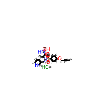 CC#CCOc1ccc(S(=O)(=O)N(Cc2cccnc2)C(C)C(=O)NO)cc1.Cl